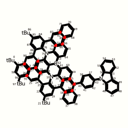 CC(C)(C)c1cc(-c2cc3c4c(c2)N(c2c(-c5ccccc5)cc(C(C)(C)C)cc2-c2ccccc2)c2cc(N(c5ccccc5)c5ccc(-n6c7ccccc7c7ccccc76)cc5)ccc2B4c2ccc(-c4ccccc4)cc2N3c2c(-c3ccccc3)cc(C(C)(C)C)cc2-c2ccccc2)cc(C(C)(C)C)c1